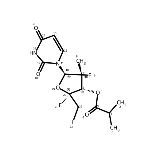 CC(C)C(=O)O[C@H]1[C@@](C)(F)[C@H](n2ccc(=O)[nH]c2=O)O[C@]1(F)CI